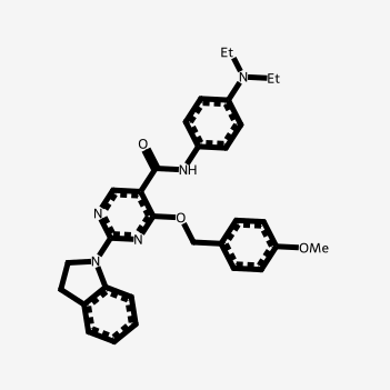 CCN(CC)c1ccc(NC(=O)c2cnc(N3CCc4ccccc43)nc2OCc2ccc(OC)cc2)cc1